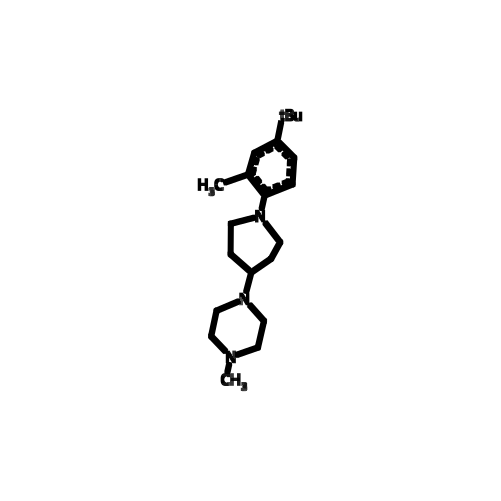 Cc1cc(C(C)(C)C)ccc1N1CCC(N2CCN(C)CC2)CC1